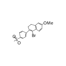 COc1ccc2c(c1)CCC(c1ccc(S(C)(=O)=O)cc1)=C2Br